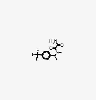 C[C@@H](c1ccc(C(F)(F)F)cc1)N(C)C(=O)C(N)=O